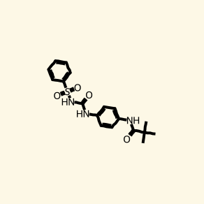 CC(C)(C)C(=O)Nc1ccc(NC(=O)NS(=O)(=O)c2ccccc2)cc1